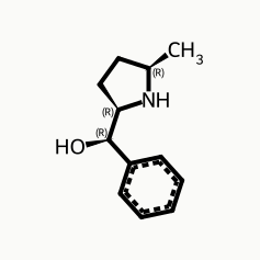 C[C@@H]1CC[C@H]([C@H](O)c2ccccc2)N1